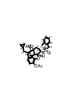 CC(=O)Oc1ccc2c3c1O[C@H]1[C@@H](NS(=O)(=O)Cc4ccccc4C)CC[C@@]4(OC(C)=O)[C@@H](C2)N(CC2CC2)CC[C@]314